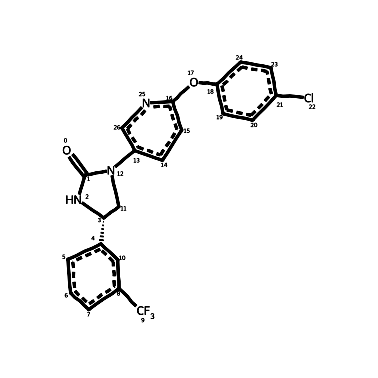 O=C1N[C@@H](c2cccc(C(F)(F)F)c2)CN1c1ccc(Oc2ccc(Cl)cc2)nc1